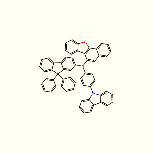 c1ccc(C2(c3ccccc3)c3ccccc3-c3ccc(N(c4ccc(-n5c6ccccc6c6ccccc65)cc4)c4cc5ccccc5c5oc6ccccc6c45)cc32)cc1